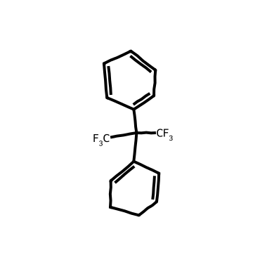 FC(F)(F)C(C1=CCCC=C1)(c1ccccc1)C(F)(F)F